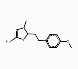 COc1ccc(CCC2SC(N)=NN2C)cc1